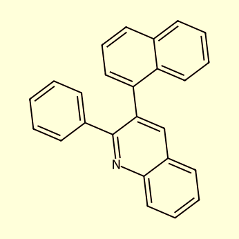 c1ccc(-c2nc3ccccc3cc2-c2cccc3ccccc23)cc1